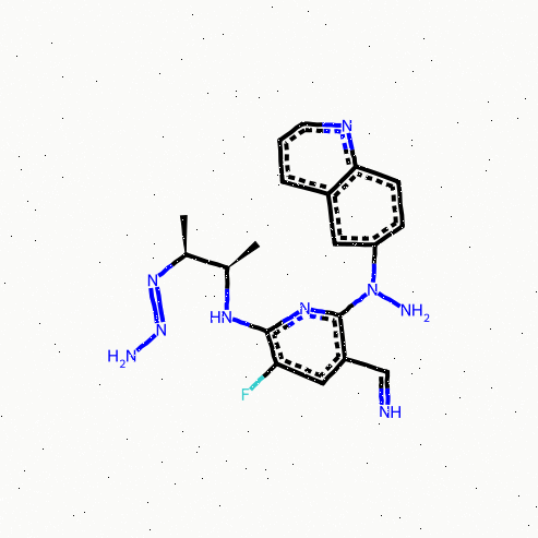 C[C@H](N=NN)[C@@H](C)Nc1nc(N(N)c2ccc3ncccc3c2)c(C=N)cc1F